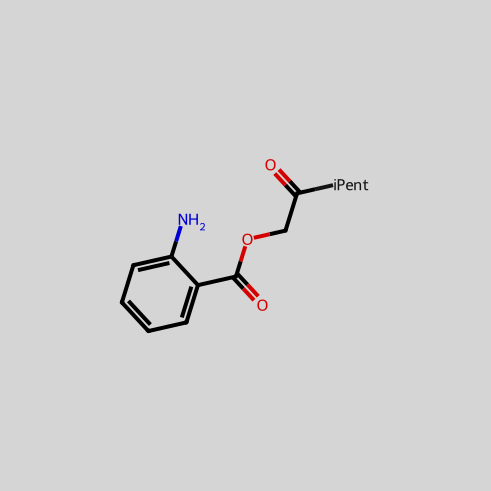 CCCC(C)C(=O)COC(=O)c1ccccc1N